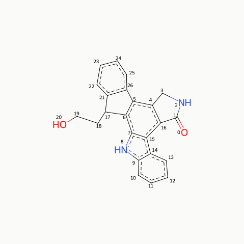 O=C1NCc2c3c(c4[nH]c5ccccc5c4c21)C(CCO)c1ccccc1-3